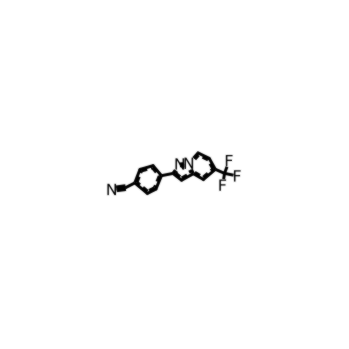 N#Cc1ccc(-c2cc3cc(C(F)(F)F)ccn3n2)cc1